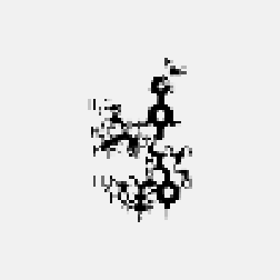 COC(=O)NC(C(=O)NN(Cc1c(F)cc(-c2ccn(C(F)F)n2)cc1F)CC(OC(=O)OCCl)C(Cc1ccc(I)cc1)NC(=O)C(OC(N)=O)C(C)(C)C(F)(F)F)C(C)(C)C(F)(F)F